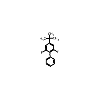 CC(C)(C)c1cc(F)c(-c2ccccc2)c(F)c1